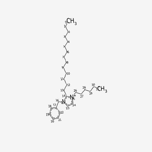 CCCCCCCCCCCCCCc1n(Cc2ccccc2)cc[n+]1CCCCCC